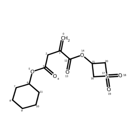 C=C(CC(=O)OC1CCCCC1)C(=O)OC1CS(=O)(=O)C1